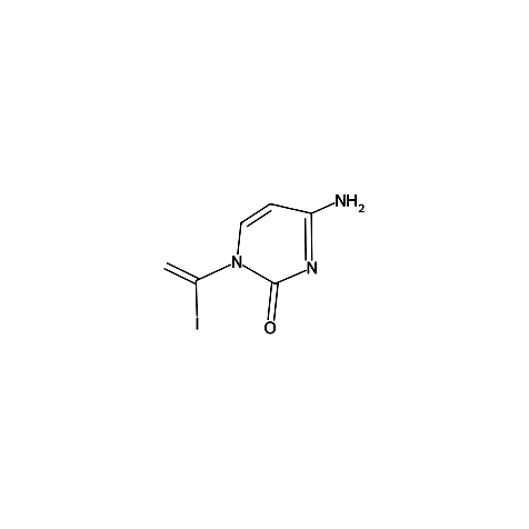 C=C(I)n1ccc(N)nc1=O